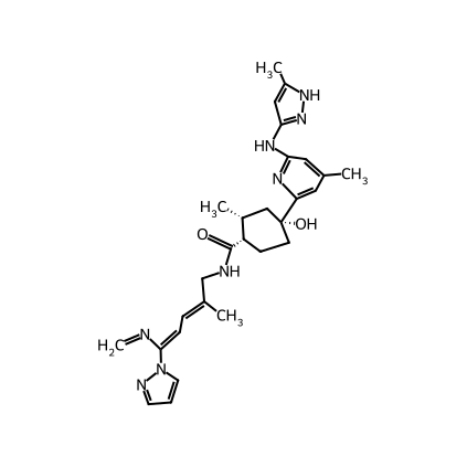 C=N/C(=C\C=C(/C)CNC(=O)[C@H]1CC[C@](O)(c2cc(C)cc(Nc3cc(C)[nH]n3)n2)C[C@H]1C)n1cccn1